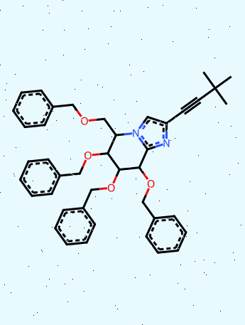 CC(C)(C)C#Cc1cn2c(n1)C(OCc1ccccc1)C(OCc1ccccc1)C(OCc1ccccc1)C2COCc1ccccc1